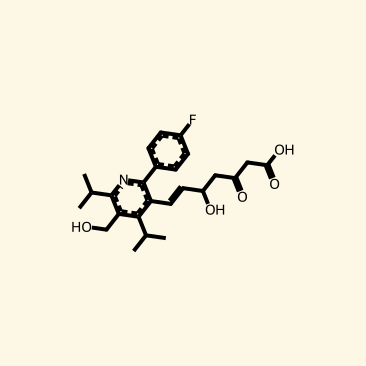 CC(C)c1nc(-c2ccc(F)cc2)c(/C=C/C(O)CC(=O)CC(=O)O)c(C(C)C)c1CO